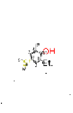 CCc1cc([S+](C)C)cc(C)c1O